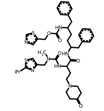 CC(C)c1nc(CN(C)C(=O)NC(CCN2CCC(=O)CC2)C(=O)NC(CCC(Cc2ccccc2)NC(=O)OCc2cncs2)Cc2ccccc2)cs1